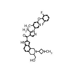 Cc1cc(Oc2c(F)cccc2F)ncc1-n1ncc(C(=O)c2cc3c4c(ccc3[nH]2)CC(CO)N(C2CN(C)C2)C4)c1N